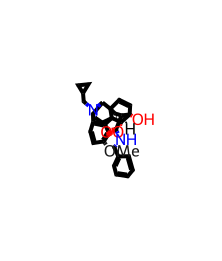 COc1ccc2c3c1OC1C4(O)C=CC5(C[C@@H]4C(=O)NCc4ccccc4)C(C2)N(CC2CC2)CCC315